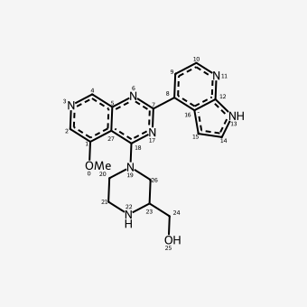 COc1cncc2nc(-c3ccnc4[nH]ccc34)nc(N3CCNC(CO)C3)c12